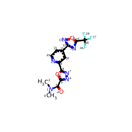 CN(C)C(=O)c1nnc(-c2cc(-c3noc(C(F)(F)F)n3)ccn2)o1